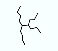 CCCC[C](CCCC)C(CCC)CCC